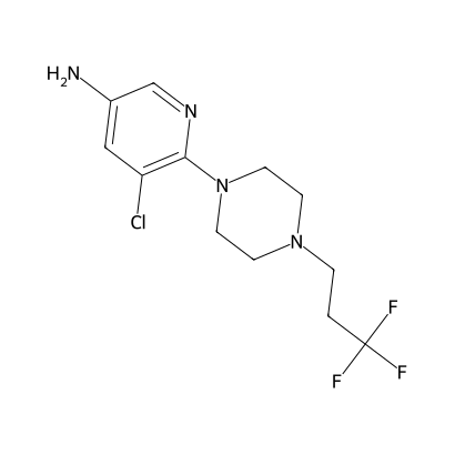 Nc1cnc(N2CCN(CCC(F)(F)F)CC2)c(Cl)c1